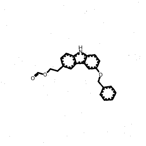 O=COCCc1ccc2[nH]c3ccc(OCc4ccccc4)cc3c2c1